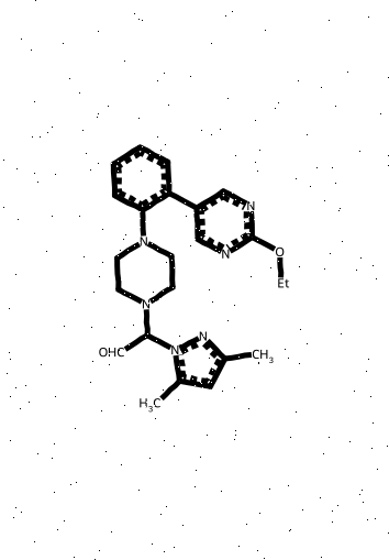 CCOc1ncc(-c2ccccc2N2CCN(C(C=O)n3nc(C)cc3C)CC2)cn1